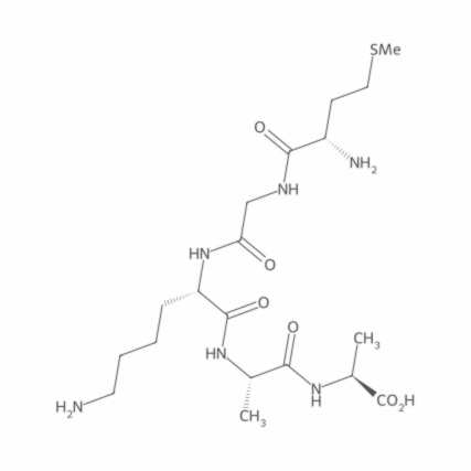 CSCC[C@H](N)C(=O)NCC(=O)N[C@@H](CCCCN)C(=O)N[C@@H](C)C(=O)N[C@@H](C)C(=O)O